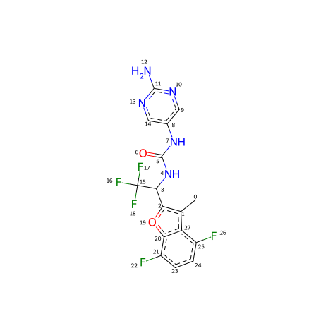 Cc1c(C(NC(=O)Nc2cnc(N)nc2)C(F)(F)F)oc2c(F)ccc(F)c12